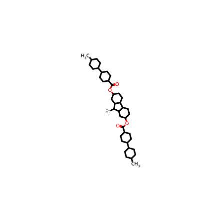 CCC1C2CC(OC(=O)C3CCC(C4CCC(C)CC4)CC3)CCC2C2CCC(OC(=O)C3CCC(C4CCC(C)CC4)CC3)CC12